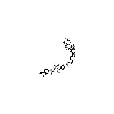 CC(CC1CCC(C)N1C(=O)c1ccc(N2CCN(CC3CCN(c4ccc5c(c4)C(=O)N(C4CCC(=O)NC4=O)C5=O)CC3)CC2)cc1)Oc1ccc(C#N)c(Cl)c1